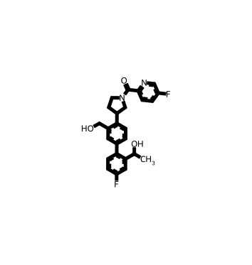 CC(O)c1cc(F)ccc1-c1ccc(C2CCN(C(=O)c3ccc(F)cn3)C2)c(CO)c1